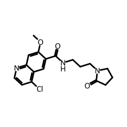 COc1cc2nccc(Cl)c2cc1C(=O)NCCCN1CCCC1=O